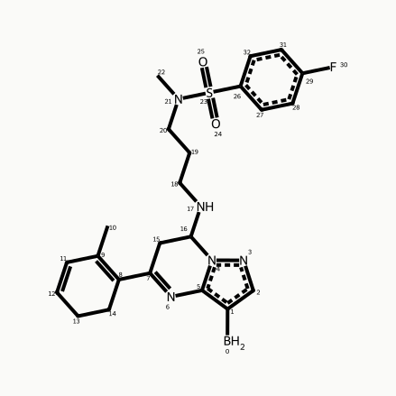 Bc1cnn2c1N=C(C1=C(C)C=CCC1)CC2NCCCN(C)S(=O)(=O)c1ccc(F)cc1